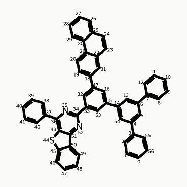 c1ccc(-c2cc(-c3ccccc3)cc(-c3cc(-c4ccc5c(ccc6ccccc65)c4)cc(-c4nc(-c5ccccc5)c5sc6ccccc6c5n4)c3)c2)cc1